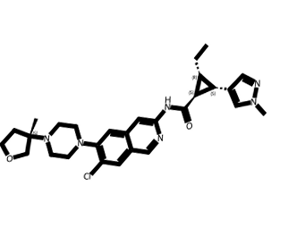 CC[C@H]1[C@H](C(=O)Nc2cc3cc(N4CCN([C@@]5(C)CCOC5)CC4)c(Cl)cc3cn2)[C@H]1c1cnn(C)c1